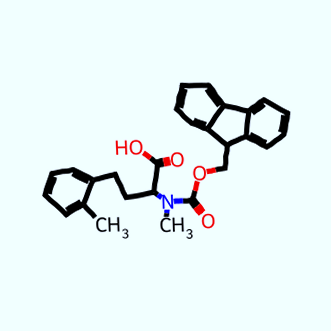 Cc1ccccc1CCC(C(=O)O)N(C)C(=O)OCC1c2ccccc2-c2ccccc21